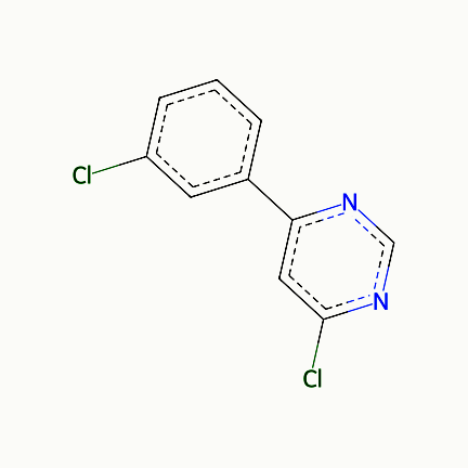 Clc1cccc(-c2cc(Cl)ncn2)c1